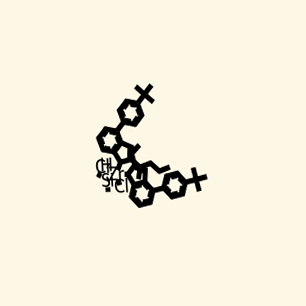 CCCC(C)C1=Cc2c(-c3ccc(C(C)(C)C)cc3)cccc2[CH]1[Zr]([Cl])([Cl])([CH]1C(CC)=Cc2c(-c3ccc(C(C)(C)C)cc3)cccc21)[SiH](C)C